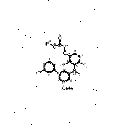 COc1cc(-c2cccc(F)c2)cc(N(C)c2c(F)ccc(OCC(=O)OC(C)C)c2F)c1